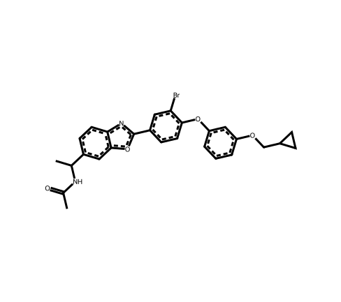 CC(=O)NC(C)c1ccc2nc(-c3ccc(Oc4cccc(OCC5CC5)c4)c(Br)c3)oc2c1